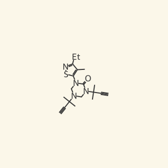 C#CC(C)(C)N1CN(c2snc(CC)c2C)C(=O)N(C(C)(C)C#C)C1